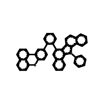 c1ccc(-n2c3c4ccccc4ccc3c3c(-c4ccccc4-c4ccc5c(c4)-c4cccc6cccc(c46)S5)cc4ccccc4c32)cc1